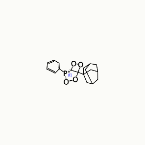 COC1(C23CC4CC(CC(C4)C2)C3)OO/C1=[P+](/[O-])c1ccccc1